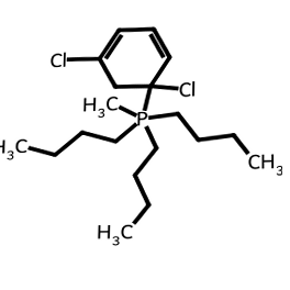 CCCCP(C)(CCCC)(CCCC)C1(Cl)C=CC=C(Cl)C1